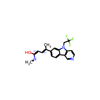 C=N/C(O)=C\C=C(/C)c1ccc2c3cnccc3n(CC(F)(F)F)c2c1